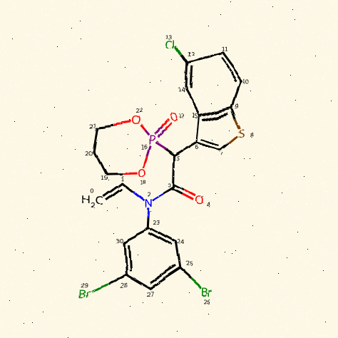 C=CN(C(=O)C(c1csc2ccc(Cl)cc12)P1(=O)OCCCO1)c1cc(Br)cc(Br)c1